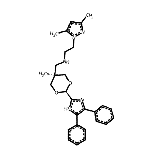 Cc1cc(C)n(CCNC[C@]2(C)CO[C@H](c3nc(-c4ccccc4)c(-c4ccccc4)[nH]3)OC2)n1